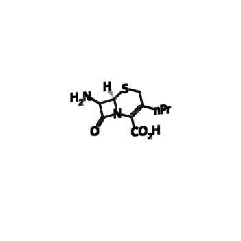 CCCC1=C(C(=O)O)N2C(=O)C(N)[C@H]2SC1